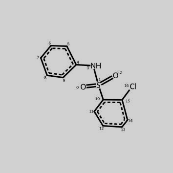 O=S(=O)(Nc1ccccc1)c1[c]cccc1Cl